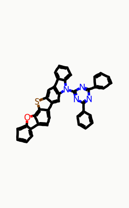 c1ccc(-c2nc(-c3ccccc3)nc(-n3c4ccccc4c4cc5sc6c(ccc7c8ccccc8oc76)c5cc43)n2)cc1